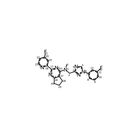 CN(Cc1ncn(-c2cccc(F)c2)n1)c1nc(-c2cc(F)ccn2)nc2c1CCC2